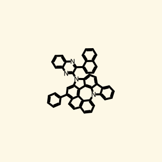 c1ccc(-c2cc3c4c5c2ccc2cccc(c25)n2c5ccccc5c5ccc(c4c52)n3-c2nc3ccccc3nc2-c2cccc3ccccc23)cc1